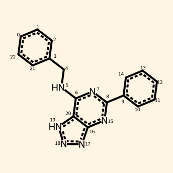 c1ccc(CNc2nc(-c3ccccc3)nc3nn[nH]c23)cc1